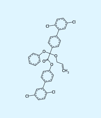 C=CCOC(Oc1ccccc1)(C(=O)Oc1ccc(-c2cc(Cl)ccc2Cl)cc1)c1ccc(-c2cc(Cl)ccc2Cl)cc1